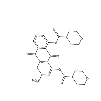 O=C1C2=C(C(=O)c3c(OC(=O)C4CCOCC4)cccc31)C(OC(=O)C1CCOCC1)=CC(C(=O)O)C2